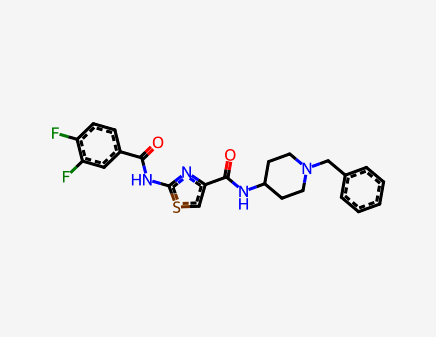 O=C(Nc1nc(C(=O)NC2CCN(Cc3ccccc3)CC2)cs1)c1ccc(F)c(F)c1